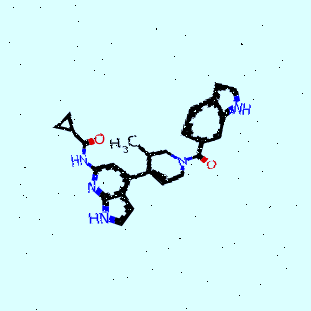 CC1CN(C(=O)c2ccc3cc[nH]c3c2)CC=C1c1cc(NC(=O)C2CC2)nc2[nH]ccc12